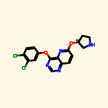 Clc1ccc(Oc2ncnc3ccc(O[C@H]4CCNC4)nc23)cc1Cl